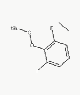 CC.CC(C)(C)OOc1c(F)cccc1I